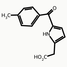 Cc1ccc(C(=O)c2ccc(CC(=O)O)[nH]2)cc1